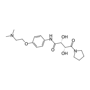 CN(C)CCOc1ccc(NC(=O)[C@H](O)[C@@H](O)C(=O)N2CCCC2)cc1